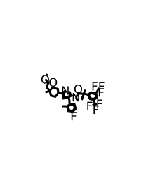 COC(=O)CC1(C)CCC(c2cc(-c3ccc(F)cc3C)c(N(C)C(=O)C(C)(C)c3cc(C(F)(F)F)cc(C(F)(F)F)c3)cn2)CC1